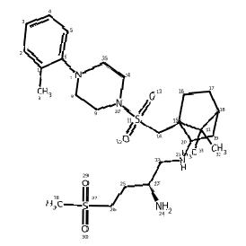 Cc1ccccc1N1CCN(S(=O)(=O)CC23CCC(CC2NC[C@@H](N)CCS(C)(=O)=O)C3(C)C)CC1